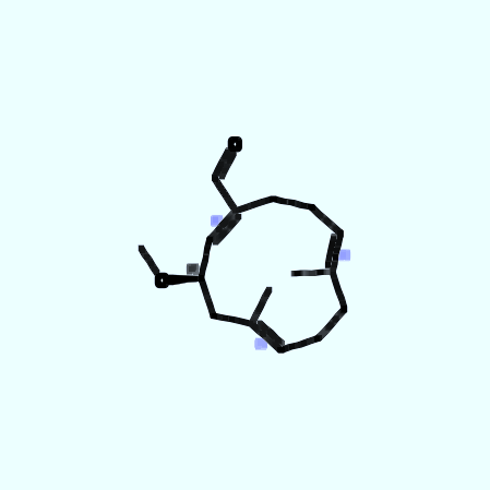 CO[C@H]1/C=C(/C=O)CC/C=C(\C)CC/C=C(\C)C1